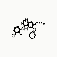 COc1cc2ncnc(Nc3cccc(Cl)c3F)c2cc1ON1CCCCC1